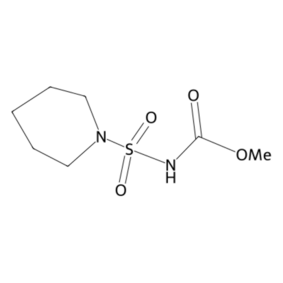 COC(=O)NS(=O)(=O)N1CCCCC1